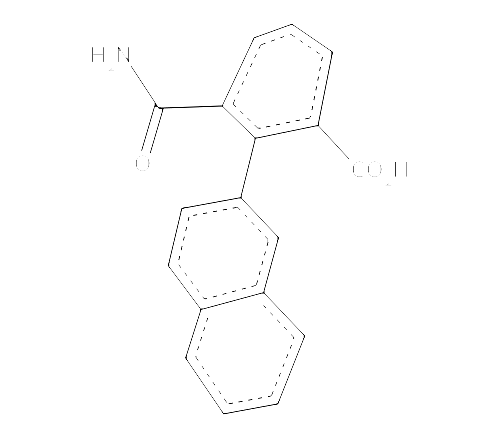 NC(=O)c1cccc(C(=O)O)c1-c1ccc2ccccc2c1